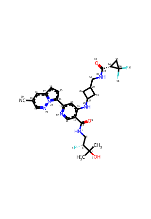 CC(C)(O)[C@H](F)CNC(=O)c1cnc(-c2ccc3cc(C#N)cnn23)cc1NC1CC(CNC(=O)[C@@H]2CC2(F)F)C1